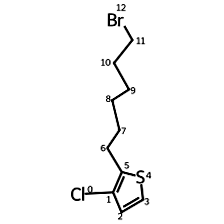 Clc1ccsc1CCCCCCBr